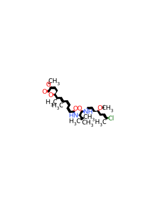 COC1=CC[C@@H]([C@@H](C)/C=C(C)/C=C\C=C/C(=O)N[C@H](C(=O)N/C=C\C[C@H](C/C=C(\C)Cl)OC)C(C)(C)C)OC1=O